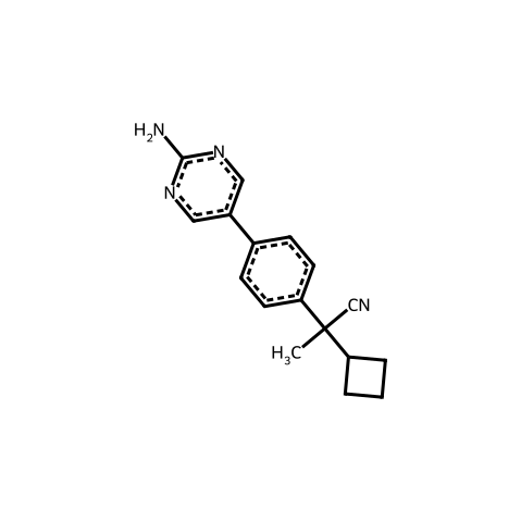 CC(C#N)(c1ccc(-c2cnc(N)nc2)cc1)C1CCC1